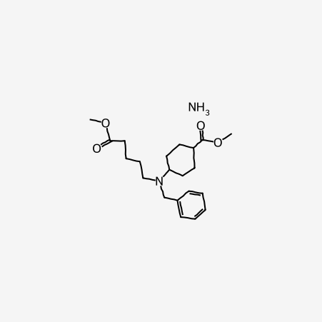 COC(=O)CCCCN(Cc1ccccc1)C1CCC(C(=O)OC)CC1.N